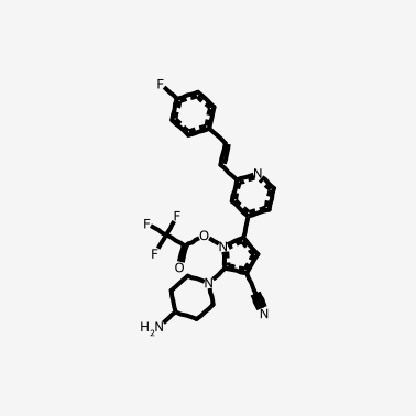 N#Cc1cc(-c2ccnc(C=Cc3ccc(F)cc3)c2)n(OC(=O)C(F)(F)F)c1N1CCC(N)CC1